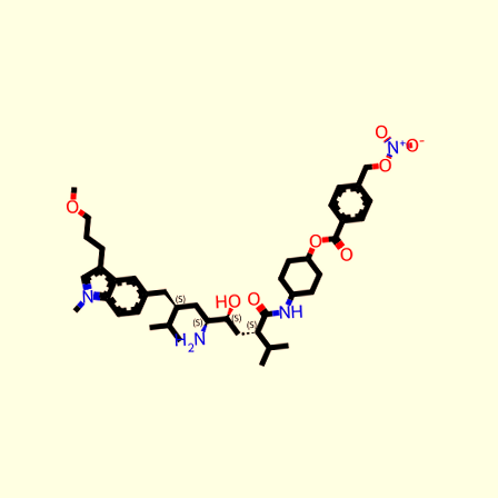 COCCCc1cn(C)c2ccc(C[C@@H](C[C@H](N)[C@@H](O)C[C@H](C(=O)NC3CCC(OC(=O)c4ccc(CO[N+](=O)[O-])cc4)CC3)C(C)C)C(C)C)cc12